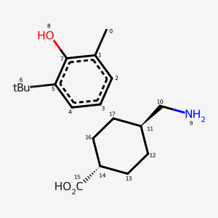 Cc1cccc(C(C)(C)C)c1O.NC[C@H]1CC[C@H](C(=O)O)CC1